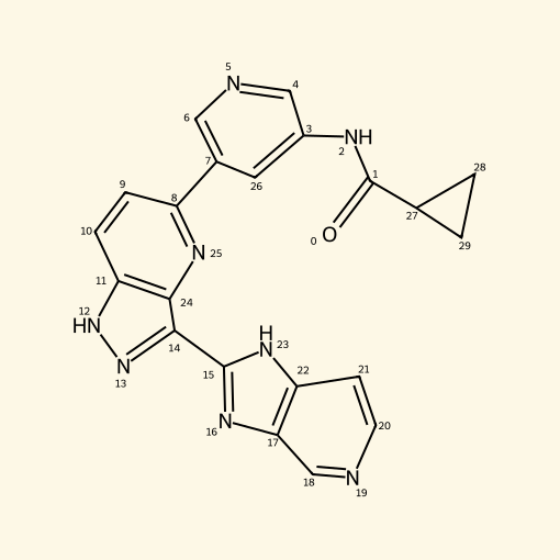 O=C(Nc1cncc(-c2ccc3[nH]nc(-c4nc5cnccc5[nH]4)c3n2)c1)C1CC1